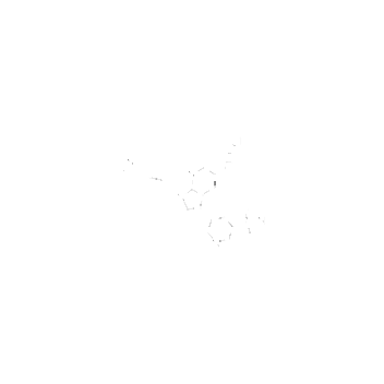 Cc1c(-c2cncc(S(=O)(=O)N(C)C)c2)c2cc(Cl)cnc2n1CC(F)=CCN.Cl.Cl.Cl